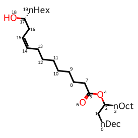 CCCCCCCCCCCC(CCCCCCCC)OC(=O)CCCCCCC/C=C\C[C@H](O)CCCCCC